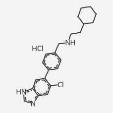 Cl.Clc1cc2nc[nH]c2cc1-c1ccc(CNCCC2CCCCC2)cc1